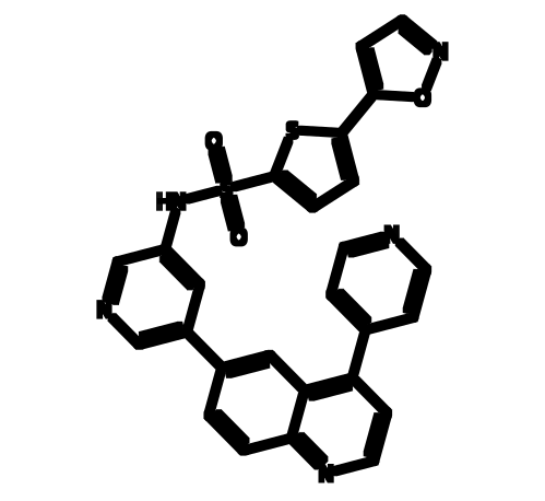 O=S(=O)(Nc1cncc(-c2ccc3nccc(-c4ccncc4)c3c2)c1)c1ccc(-c2ccno2)s1